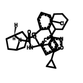 O=C(Nc1cccc(C2CCCCC2)c1)N1C2CC[C@H]1CC(OCc1c(-c3c(Cl)cccc3Cl)noc1C1CC1)C2